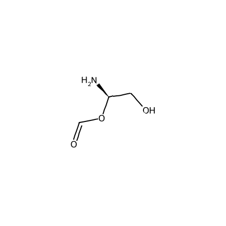 N[C@@H](CO)OC=O